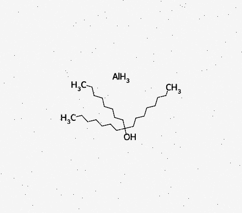 CCCCCCCCC(O)(CCCCCCC)CCCCCCCC.[AlH3]